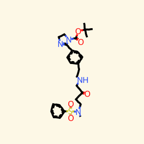 CN(CCC(=O)CNCCc1ccc(C2=NCCN2C(=O)OC(C)(C)C)cc1)S(=O)(=O)c1ccccc1